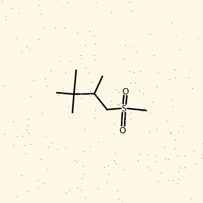 CC(CS(C)(=O)=O)C(C)(C)C